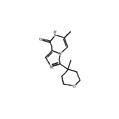 Cc1cn2c(C3(C)CCOCC3)ncc2c(=O)[nH]1